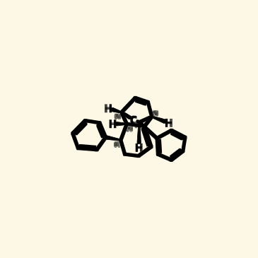 C1=C[C@@H]2C3=CCC[C@@H](c4ccccc4)[C@@H]3[C@H]1C[C@H]2c1ccccc1